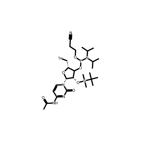 [2H]C[C@H]1O[C@@H](n2ccc(NC(C)=O)nc2=O)[C@@H](O[Si](C)(C)C(C)(C)C)C1OP(OCCC#N)N(C(C)C)C(C)C